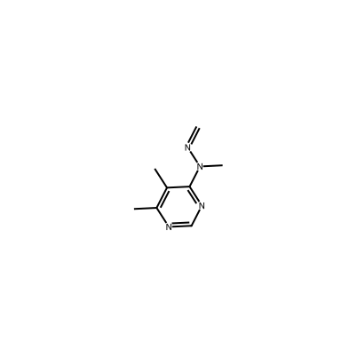 C=NN(C)c1ncnc(C)c1C